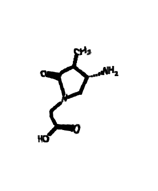 CC1C(=O)N(CC(=O)O)C[C@H]1N